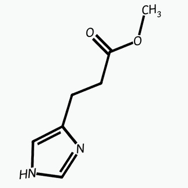 COC(=O)CCc1c[nH]cn1